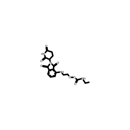 CCNC(=O)OOCCNc1cccc2c1C(=O)N(C1CCC(=O)NC1=O)C2=O